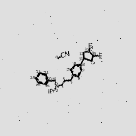 CC#N.CC(C)N(CCCc1ccc(C2CC(F)C(F)C2)cc1)Cc1ccccc1